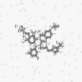 Cn1nc(NS(C)(=O)=O)c2c(Cl)ccc(-n3c([C@H](Cc4cc(F)cc(F)c4)NC(=O)Cn4ccc(C(F)(F)F)n4)nc4ccc(OC(F)(F)F)cc4c3=O)c21